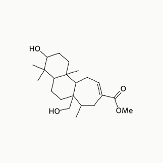 COC(=O)C1=CCC2C3(C)CCC(O)C(C)(C)C3CCC2(CO)C(C)C1